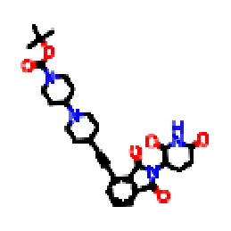 CC(C)(C)OC(=O)N1CCC(N2CCC(C#Cc3cccc4c3C(=O)N(C3CCC(=O)NC3=O)C4=O)CC2)CC1